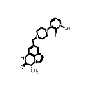 C[C@@H]1C(=O)Nc2cc(CN3CCN(C4=C(F)N(C)CC=C4)CC3)cc3ccn1c23